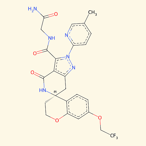 Cc1ccc(-n2nc3c(c2C(=O)NCC(N)=O)C(=O)N[C@@]2(CCOc4cc(OCC(F)(F)F)ccc42)C3)nc1